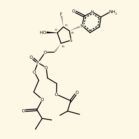 CC(C)C(=O)OCCOP(=O)(OCCOC(=O)C(C)C)OC[C@H]1S[C@@H](n2ccc(N)nc2=O)[C@@H](F)[C@@H]1O